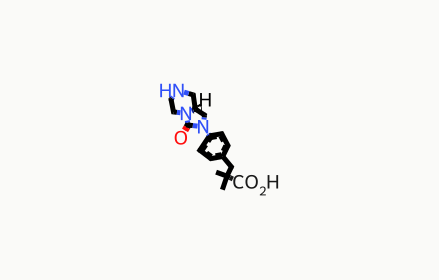 CC(C)(Cc1ccc(N2C[C@@H]3CNCCN3C2=O)cc1)C(=O)O